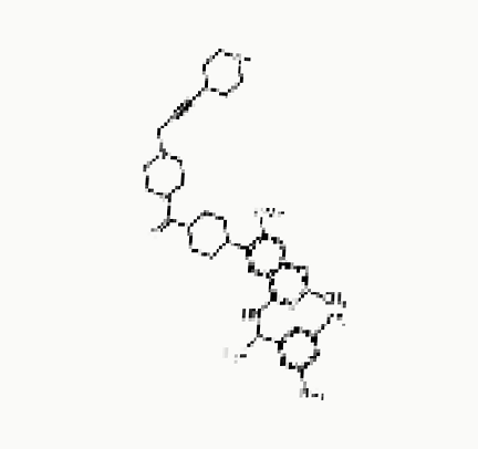 COc1cc2nc(C)nc(N[C@H](C)c3cc([N+](=O)[O-])cc(C(F)(F)F)c3)c2cc1C1CCC(C(=O)N2CCN(CC#CC3CCNCC3)CC2)CC1